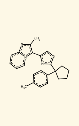 Cc1ccc(C2(c3nc(-c4c(C)nc5ccccn45)cs3)CCCC2)cc1